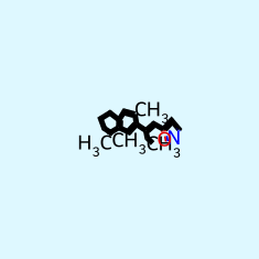 CCC(=Cc1ccno1)c1cc2c(cc1C)CCCC2(C)C